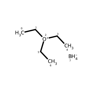 CC[O+](CC)CC.[BH4-]